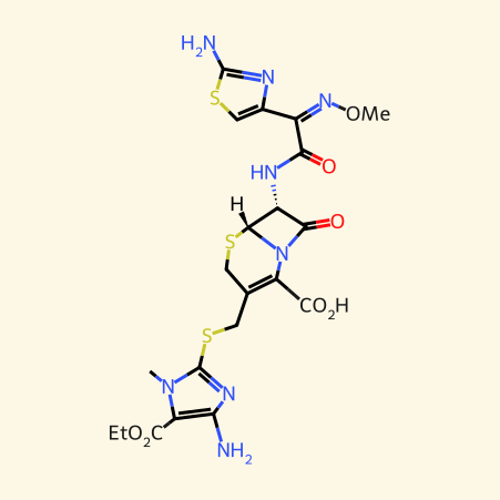 CCOC(=O)c1c(N)nc(SCC2=C(C(=O)O)N3C(=O)[C@@H](NC(=O)/C(=N\OC)c4csc(N)n4)[C@H]3SC2)n1C